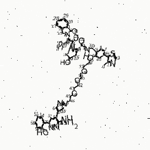 Cc1ncsc1-c1ccc(CNC(=O)[C@@H]2C[C@@H](O)CN2C(=O)[C@H](C(C)C)N2Cc3ccccc3C2=O)c(OCCOCCOCCOCCn2cc(-c3cc(-c4ccccc4O)nnc3N)cn2)c1